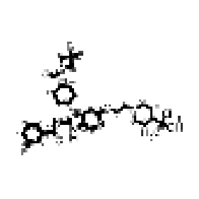 CC(C)(O)C1CCN(CCOc2cc3c(cn2)[nH]/c(=N\C(=O)c2cccc(F)c2)n3[C@H]2CC[C@@H](C(=O)N3CC(F)(F)C3)CC2)CC1